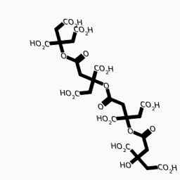 O=C(O)CC(O)(CC(=O)OC(CC(=O)O)(CC(=O)OC(CC(=O)O)(CC(=O)OC(CC(=O)O)(CC(=O)O)C(=O)O)C(=O)O)C(=O)O)C(=O)O